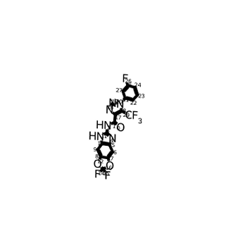 O=C(Nc1nc2cc3c(cc2[nH]1)OC(F)(F)O3)c1nnn(-c2cccc(F)c2)c1C(F)(F)F